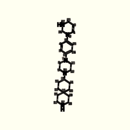 C1=CN(c2ccc(N3CCN(C4CCC5(CCNCC5)CC4)CC3)cc2)CNC1